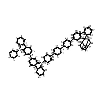 c1ccc(-n2c3ccccc3c3ccc(-c4ccc5c6ccccc6n(-c6ccc(-c7ccc(-c8ccc(-c9ccc%10c(c9)C9(c%11ccccc%11-%10)C%10CC%11CC(C%10)CC9C%11)cc8)cc7)cc6)c5c4)cc32)cc1